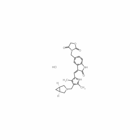 Cc1[nH]c(C=C2C(=O)Nc3ccc(CN4C(=O)COC4=O)cc32)c(C)c1CN1C[C@H]2C[C@H]2C1.Cl